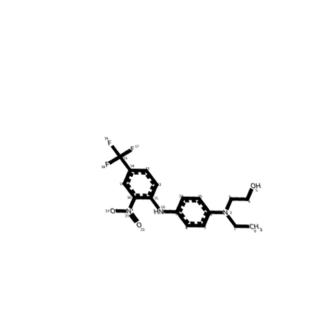 CCN(CCO)c1ccc(Nc2ccc(C(F)(F)F)cc2[N+](=O)[O-])cc1